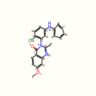 COc1ccc2c(=O)n(-c3cc(Nc4ccccc4)ccc3Cl)c(C)nc2c1